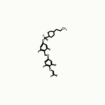 CCCC1CCC(C(F)(F)Oc2cc(F)c(COc3cc(F)c(OC=C(F)F)c(F)c3)c(F)c2)CC1